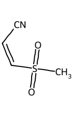 CS(=O)(=O)/C=C\C#N